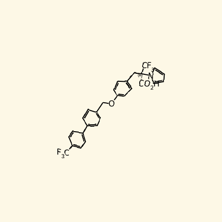 O=C(O)[C@@](Cc1ccc(OCc2ccc(-c3ccc(C(F)(F)F)cc3)cc2)cc1)(n1cccc1)C(F)(F)F